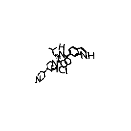 CC(C)C[C@@H](NC(=O)c1ccc2cc[nH]c2c1)C(=O)N1CCC(C2CCN(C)CC2)CC1.Cl